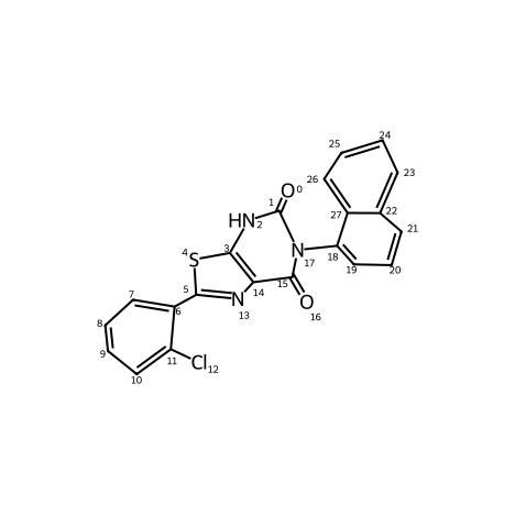 O=c1[nH]c2sc(-c3ccccc3Cl)nc2c(=O)n1-c1cccc2ccccc12